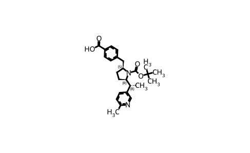 Cc1ccc([C@@H](C)[C@H]2CC[C@@H](Cc3ccc(C(=O)O)cc3)N2C(=O)OC(C)(C)C)cn1